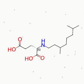 CC(C)CCCC(C)CCN[C@@H](CCC(=O)O)C(=O)O